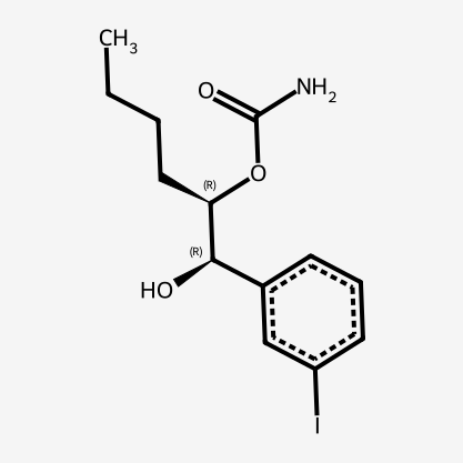 CCCC[C@@H](OC(N)=O)[C@H](O)c1cccc(I)c1